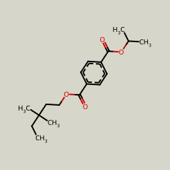 CCC(C)(C)CCOC(=O)c1ccc(C(=O)OC(C)C)cc1